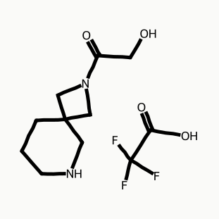 O=C(CO)N1CC2(CCCNC2)C1.O=C(O)C(F)(F)F